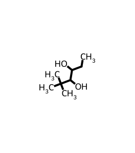 CCC(O)C(O)C(C)(C)C